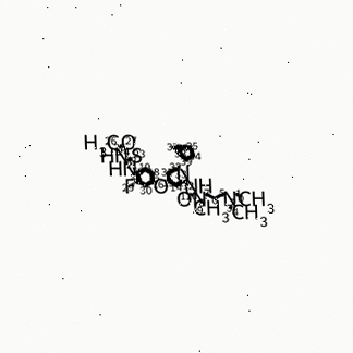 CCN(CC)CCCN(C)C(=O)Nc1cc(Oc2ccc(NC(=S)NC(C)=O)c(F)c2)ccn1.c1cc2cc-2c1